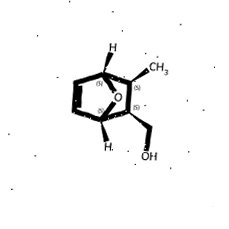 C[C@H]1[C@@H](CO)[C@@H]2C=C[C@H]1O2